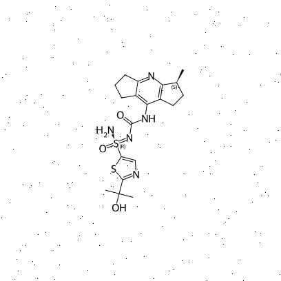 C[C@H]1CCc2c1nc1c(c2NC(=O)N=[S@@](N)(=O)c2cnc(C(C)(C)O)s2)CCC1